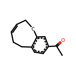 CC(=O)c1ccc2c(c1)CC/C=C\CC2